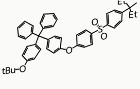 CCC(C)(CC)c1ccc(S(=O)(=O)c2ccc(Oc3ccc(C(c4ccccc4)(c4ccccc4)c4ccc(OC(C)(C)C)cc4)cc3)cc2)cc1